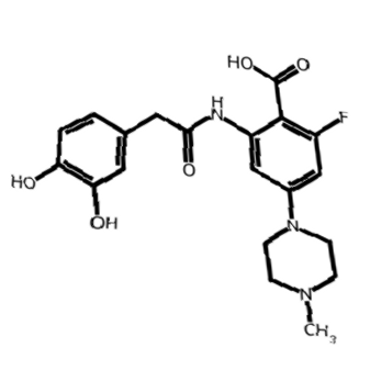 CN1CCN(c2cc(F)c(C(=O)O)c(NC(=O)Cc3ccc(O)c(O)c3)c2)CC1